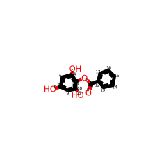 O=C(Oc1c(O)cc(O)cc1O)c1ccccc1